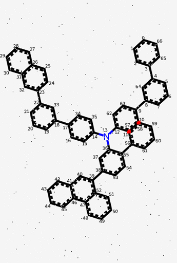 c1ccc(-c2cccc(-c3ccc(N(c4ccc(-c5cccc(-c6ccc7ccccc7c6)c5)cc4)c4cc(-c5cc6ccccc6c6ccccc56)ccc4-c4ccccc4)cc3)c2)cc1